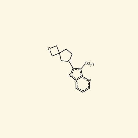 O=C(O)c1c(N2CCC3(COC3)C2)nn2cccnc12